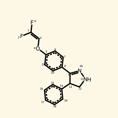 FC(F)=COc1ccc(C2=NNCC2c2ccccc2)cc1